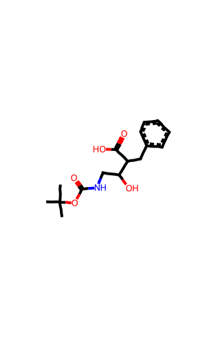 CC(C)(C)OC(=O)NCC(O)C(Cc1ccccc1)C(=O)O